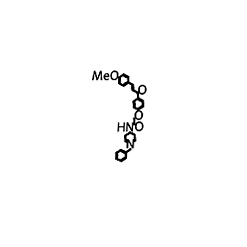 COc1ccc(/C=C/C(=O)c2ccc(OCC(=O)NC3CCN(Cc4ccccc4)CC3)cc2)cc1